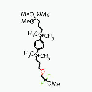 COC(F)(F)COCCC[Si](C)(C)c1ccc([Si](C)(C)CCC[Si](OC)(OC)OC)cc1